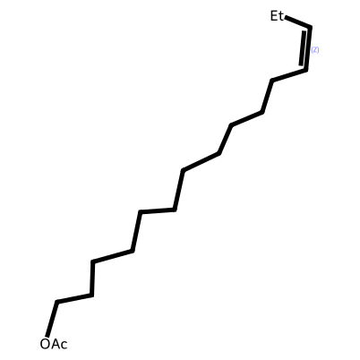 CC/C=C\CCCCCCCCCCCOC(C)=O